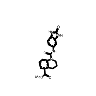 COC(=O)c1cccc2c1CCCN2C(=O)Nc1ccc2[nH]c(=O)[nH]c2c1